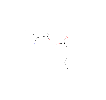 CCCCCCCCCC(=O)OC(=O)[C@H](C)N.[NaH]